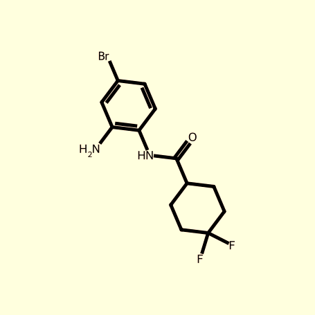 Nc1cc(Br)ccc1NC(=O)C1CCC(F)(F)CC1